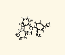 CC(=O)c1cc(Cl)ccc1Oc1ccccc1C1COCCN1